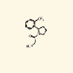 NCC(=O)N1CCCC1c1ccccc1C(F)(F)F